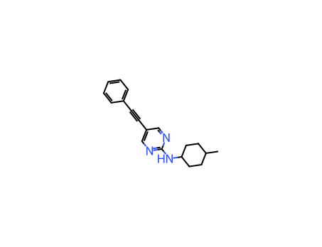 CC1CCC(Nc2ncc(C#Cc3ccccc3)cn2)CC1